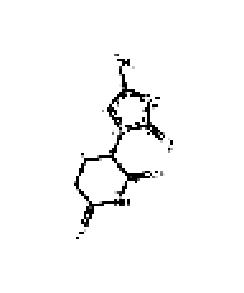 Cc1cn(C2CCC(=O)NC2=O)c(=O)[nH]1